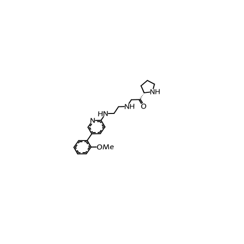 COc1ccccc1-c1ccc(NCCNCC(=O)[C@@H]2CCCN2)nc1